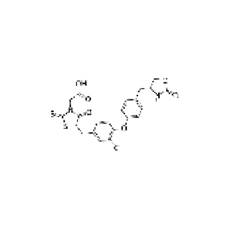 CN1C(=O)OCC1Cc1ccc(Oc2ccc(CC3SC(=S)N(CC(=O)O)C3=O)cc2Cl)cc1